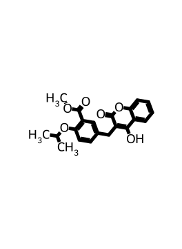 COC(=O)c1cc(Cc2c(O)c3ccccc3oc2=O)ccc1OC(C)C